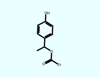 CCC(=O)OC(C)c1ccc(O)cc1